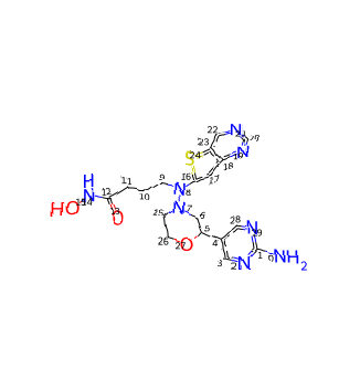 Nc1ncc(C2CN(N(CCCC(=O)NO)c3cc4ncncc4s3)CCO2)cn1